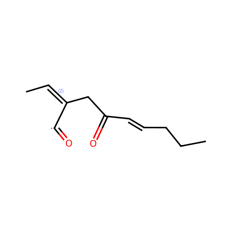 C/C=C(\[C]=O)CC(=O)C=CCCC